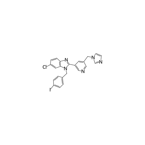 Clc1ccc2nc(-c3cncc(Cn4ccnc4)c3)n(Cc3ccc(I)cc3)c2c1